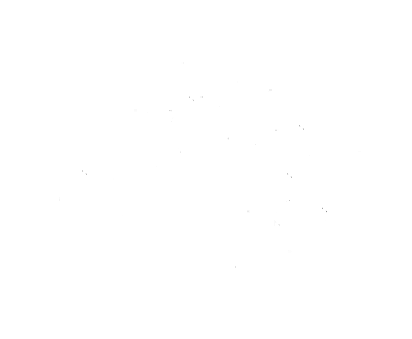 CNC(=O)COc1cc2cc(Nc3nc(N4CCCCC4)ncc3Cl)ccc2n(C)c1=O